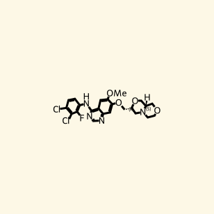 COc1cc2c(Nc3ccc(Cl)c(Cl)c3F)ncnc2cc1OC[C@H]1CN2CCOC[C@H]2CO1